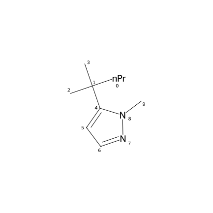 CCCC(C)(C)c1ccnn1C